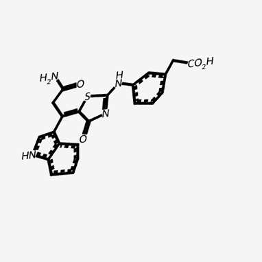 NC(=O)CC(=C1SC(Nc2cccc(CC(=O)O)c2)=NC1=O)c1c[nH]c2ccccc12